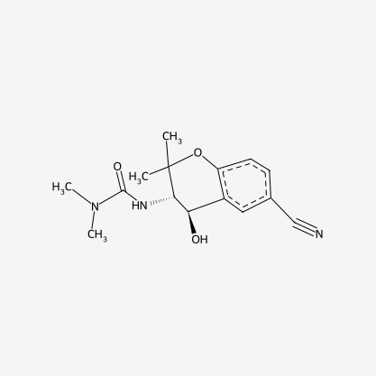 CN(C)C(=O)N[C@H]1[C@H](O)c2cc(C#N)ccc2OC1(C)C